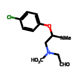 CNC(CN(CC=O)C(=O)O)Oc1ccc(Cl)cc1